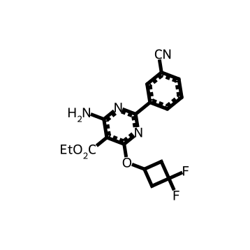 CCOC(=O)c1c(N)nc(-c2cccc(C#N)c2)nc1OC1CC(F)(F)C1